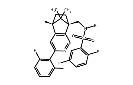 CCN(C[C@@]12CC[C@@H](c3cc(-c4c(F)cccc4F)nnc31)C2(C)C)S(=O)(=O)c1cc(F)ccc1F